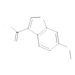 COc1ccc2c(C(=O)O)coc2c1